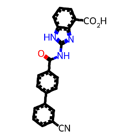 N#Cc1cccc(-c2ccc(C(=O)Nc3nc4c(C(=O)O)cccc4[nH]3)cc2)c1